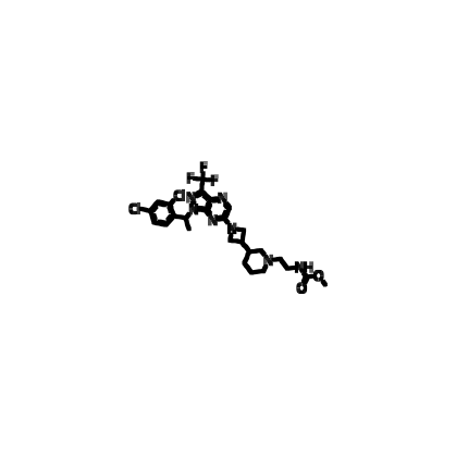 COC(=O)NCCN1CCCC(C2CN(c3cnc4c(C(F)(F)F)nn(C(C)c5ccc(Cl)cc5Cl)c4n3)C2)C1